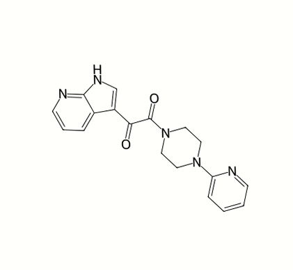 O=C(C(=O)N1CCN(c2ccccn2)CC1)c1c[nH]c2ncccc12